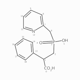 O=C(O)C(CP(=O)(O)Cc1ccccn1)c1ccccc1